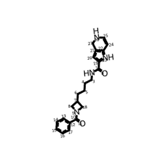 O=C(NCCCCC1CN(C(=O)c2ccccc2)C1)c1cc2c([nH]1)C=CNC2